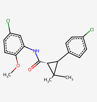 COc1ccc(Cl)cc1NC(=O)[C@@H]1C(c2ccc(Cl)cc2)C1(C)C